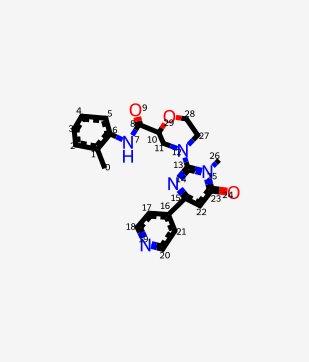 Cc1ccccc1NC(=O)C1CN(c2nc(-c3ccncc3)cc(=O)n2C)CCO1